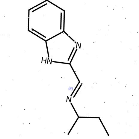 CCC(C)/N=C/c1nc2ccccc2[nH]1